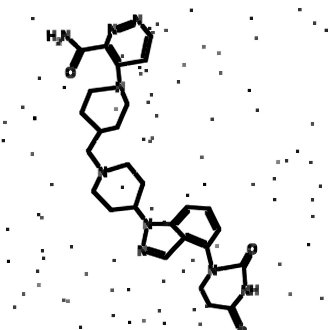 NC(=O)c1nnccc1N1CCC(CN2CCC(n3ncc4c(N5CCC(=O)NC5=O)cccc43)CC2)CC1